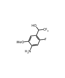 COc1cc(C(O)C(F)(F)F)c(F)cc1N